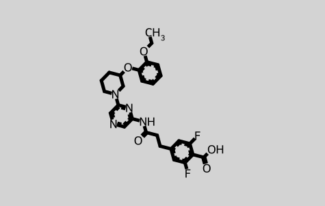 CCOc1ccccc1OC1CCCN(c2cncc(NC(=O)CCc3cc(F)c(C(=O)O)c(F)c3)n2)C1